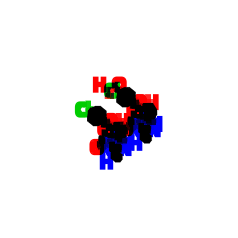 CCCC1NC(=O)CN(C(=O)OC(O)c2ccc(Cl)cc2)C1(c1ccccn1)n1cnnc1.CCCC1NC(=O)CN(C(=O)OC(O)c2ccc(Cl)cc2)C1(c1ccccn1)n1cnnc1.O